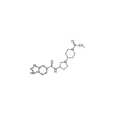 CC(=O)N1CCC(N2CCC(NC(=O)c3ccc4[nH]nnc4c3)C2)CC1